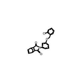 O=C1C2C3C=CC(C3)C2C(=O)N1c1cccc(OCc2ccccc2Cl)c1